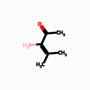 BC(C(C)=O)=C(C)C